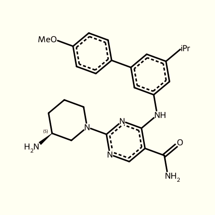 COc1ccc(-c2cc(Nc3nc(N4CCC[C@H](N)C4)ncc3C(N)=O)cc(C(C)C)c2)cc1